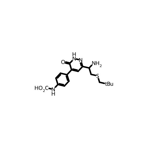 CC(C)(C)CSCC(N)c1cc(-c2ccc(NC(=O)O)cc2)c(=O)[nH]n1